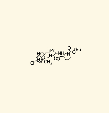 CC(C)[C@@H](NC(=O)[C@@H]1CCCN(C(=O)OC(C)(C)C)C1)C(=O)N1CC[C@](O)(c2ccc(Cl)cc2)C(C)(C)C1